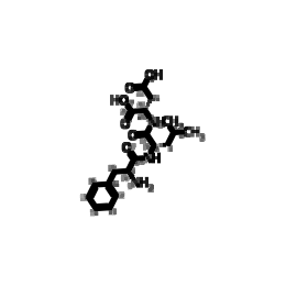 CC(C)C[C@H](NC(=O)[C@@H](N)Cc1ccccc1)C(=O)N[C@@H](CC(=O)O)C(=O)O